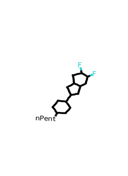 CCCCCC1CCC(C2CC3CC(F)C(F)CC3C2)CC1